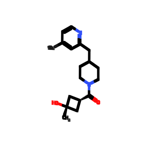 CC(C)(C)c1ccnc(CC2CCN(C(=O)[C@H]3C[C@@](C)(O)C3)CC2)c1